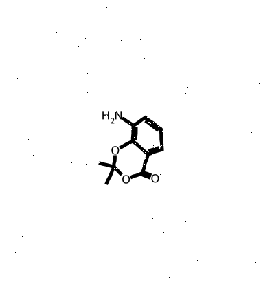 CC1(C)OC(=O)c2cccc(N)c2O1